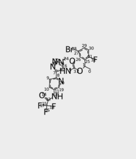 CC(OC(=O)Nc1c(-c2ccc(NC(=O)C(F)(F)F)cn2)nnn1C)c1cc(Br)ccc1F